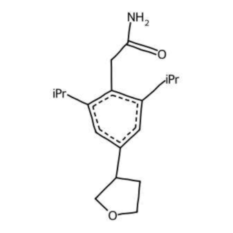 CC(C)c1cc(C2CCOC2)cc(C(C)C)c1CC(N)=O